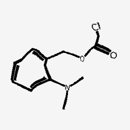 CN(C)c1ccccc1COC(=O)Cl